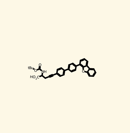 CC(C)(C)OC(=O)NC(CC#Cc1ccc(-c2ccc(-c3cccc4c3oc3ccccc34)cc2)cc1)C(=O)O